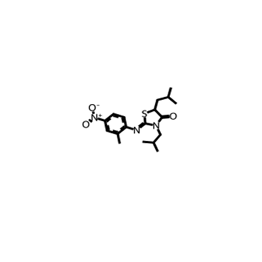 Cc1cc([N+](=O)[O-])ccc1N=C1SC(CC(C)C)C(=O)N1CC(C)C